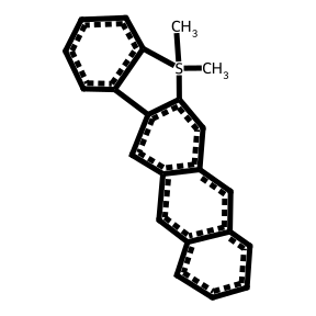 CS1(C)c2ccccc2-c2cc3cc4ccccc4cc3cc21